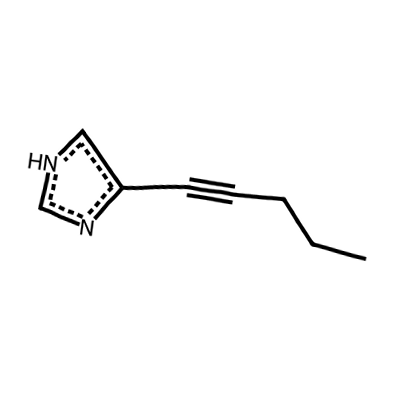 CCCC#Cc1c[nH]cn1